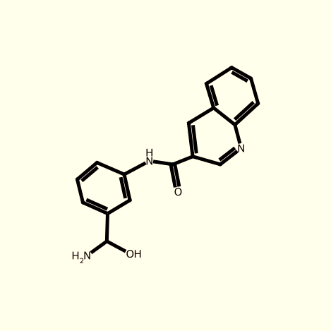 NC(O)c1cccc(NC(=O)c2cnc3ccccc3c2)c1